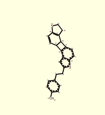 Cc1ccc(CCc2cc3c4c(ccc3s2)C2C3=C(C=CC42)SCC3)cc1